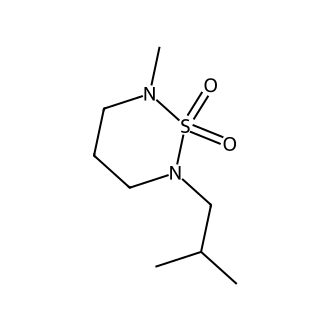 CC(C)CN1CCCN(C)S1(=O)=O